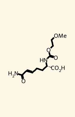 COCCOC(=O)N[C@@H](CC/C=C/C(N)=O)C(=O)O